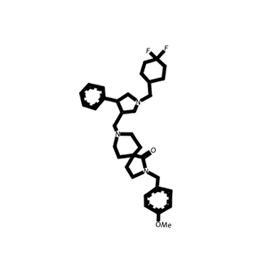 COc1ccc(CN2CCC3(CCN(CC4CN(CC5CCC(F)(F)CC5)CC4c4ccccc4)CC3)C2=O)cc1